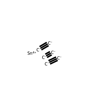 [C-]#[C-].[C-]#[C-].[C-]#[C-].[Sn+4]